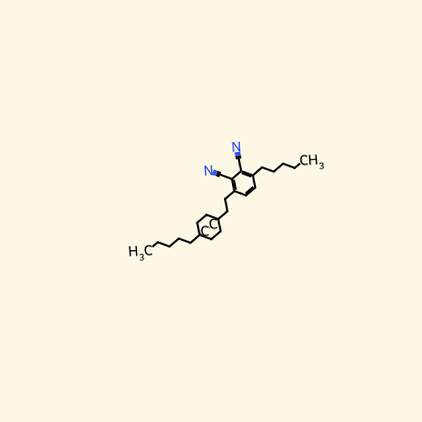 CCCCCc1ccc(CCC23CCC(CCCCC)(CC2)CC3)c(C#N)c1C#N